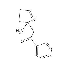 NC1(CC(=O)c2ccccc2)CCC=N1